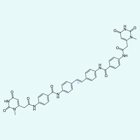 Cn1c(CC(=O)Nc2ccc(C(=O)Nc3ccc(/C=C/c4ccc(NC(=O)c5ccc(NC(=O)Cc6cc(=O)[nH]c(=O)n6C)cc5)cc4)cc3)cc2)cc(=O)[nH]c1=O